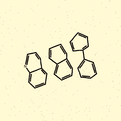 c1ccc(-c2ccccc2)cc1.c1ccc2ccccc2c1.c1ccc2ncccc2c1